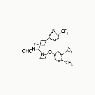 O=CN1CC2(CC(c3ccc(C(F)(F)F)nc3)C2)C1N1CCC1Oc1ccc(C(F)(F)F)c(C2CC2)c1